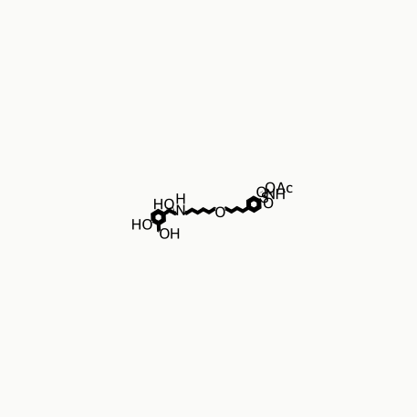 CC(=O)ONS(=O)(=O)c1ccc(CCCCOCCCCCCNC[C@@H](O)c2ccc(O)c(CO)c2)cc1